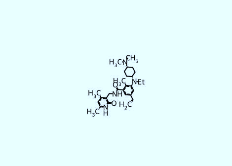 C=Cc1cc(C(=O)NCc2c(C)cc(C)[nH]c2=O)c(C)c(N(CC)[C@H]2CC[C@H](N(C)C)CC2)c1